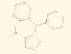 O=C(O)c1cncn1C(c1ccccc1)c1ccccc1